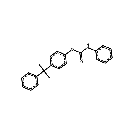 CC(C)(c1ccccc1)c1ccc(OC(=O)Nc2ccccc2)cc1